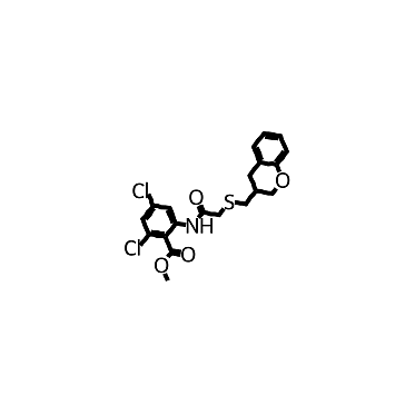 COC(=O)c1c(Cl)cc(Cl)cc1NC(=O)CSCC1COc2ccccc2C1